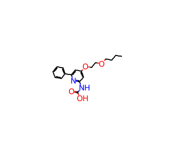 CCCCOCCOc1cc(NC(=O)O)nc(-c2ccccc2)c1